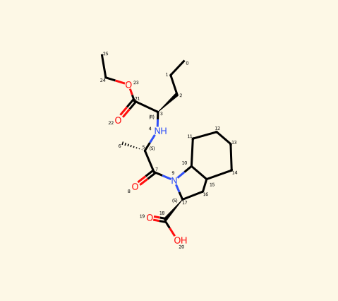 CCC[C@@H](N[C@@H](C)C(=O)N1C2CCCCC2C[C@H]1C(=O)O)C(=O)OCC